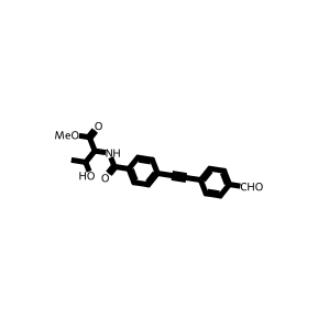 COC(=O)C(NC(=O)c1ccc(C#Cc2ccc(C=O)cc2)cc1)C(C)O